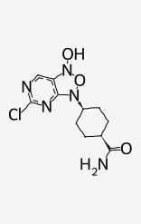 NC(=O)[C@H]1CC[C@@H](N2ON(O)c3cnc(Cl)nc32)CC1